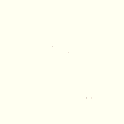 CCCCOc1ccc(C(=O)OC(C)Oc2ccccc2)cc1